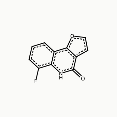 O=c1[nH]c2c(F)cccc2c2occc12